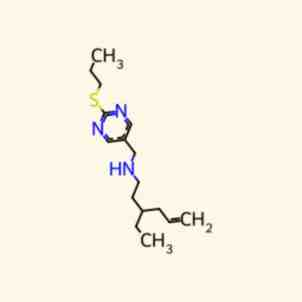 C=CCC(CC)CCNCc1cnc(SCCC)nc1